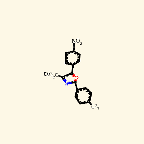 CCOC(=O)c1nc(-c2ccc(C(F)(F)F)cc2)oc1-c1ccc([N+](=O)[O-])cc1